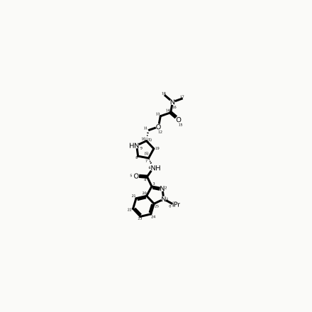 CC(C)n1nc(C(=O)N[C@@H]2CN[C@H](COCC(=O)N(C)C)C2)c2ccccc21